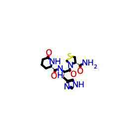 NC(=O)[C@H]1CSCN1C(=O)[C@H](Cc1c[nH]cn1)NC(=O)[C@@H]1CCCC(=O)N1